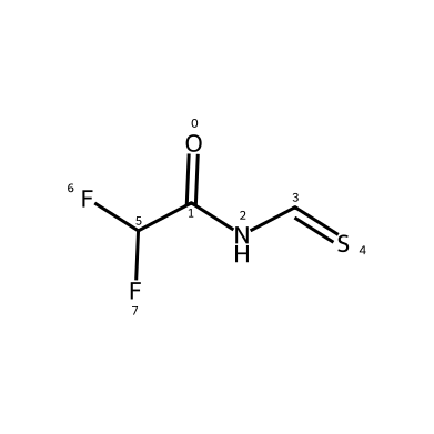 O=C(NC=S)C(F)F